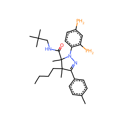 CCCCC1(C)C(c2ccc(C)cc2)=NN(c2ccc(P)cc2P)C1(C)C(=O)NCC(C)(C)C